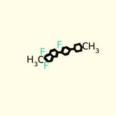 Cc1c(F)cc2cc(-c3ccc(C4CCC(C)CC4)cc3F)ccc2c1F